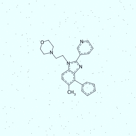 Cc1ccc2c(nc(-c3cccnc3)n2CCN2CCOCC2)c1-c1ccccc1